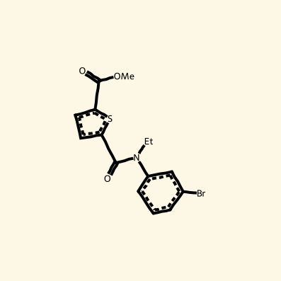 CCN(C(=O)c1ccc(C(=O)OC)s1)c1cccc(Br)c1